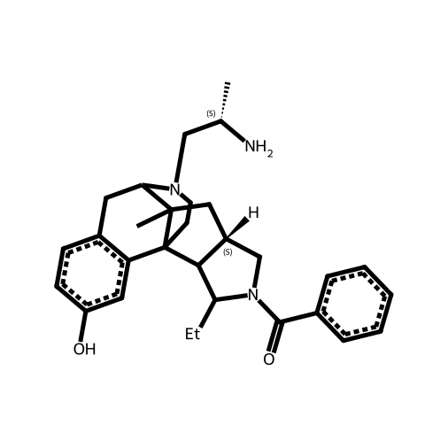 CCC1C2[C@@H](CN1C(=O)c1ccccc1)CC1(C)C3Cc4ccc(O)cc4C21CCN3C[C@H](C)N